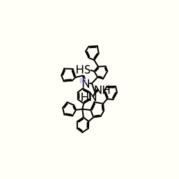 N=C(Nc1c(-c2ccccc2)ccc2c1C(c1ccccc1)(c1ccccc1)c1ccccc1-2)C(/N=C/c1ccccc1)c1cccc(-c2ccccc2)c1S